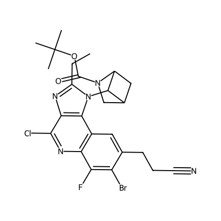 CCc1nc2c(Cl)nc3c(F)c(Br)c(CCC#N)cc3c2n1C1C2CC1N(C(=O)OC(C)(C)C)C2